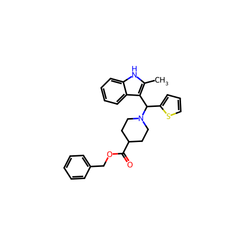 Cc1[nH]c2ccccc2c1C(c1cccs1)N1CCC(C(=O)OCc2ccccc2)CC1